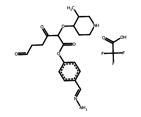 CC1CNCCC1OC(C(=O)CCC=O)C(=O)Oc1ccc(C=NN)cc1.O=C(O)C(F)(F)F